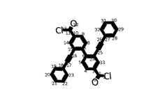 O=C(Cl)c1ccc(-c2ccc(C(=O)Cl)cc2C#Cc2ccccc2)c(C#Cc2ccccc2)c1